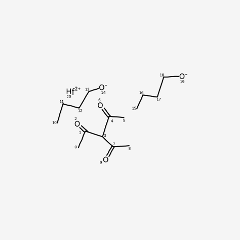 CC(=O)C(C(C)=O)C(C)=O.CCCC[O-].CCCC[O-].[Hf+2]